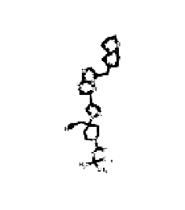 CC(C)(C)OC(=O)N1CCC(CC#N)(n2cc(-c3cnc4ncc(Cc5ccc6ncccc6c5)n4n3)cn2)CC1